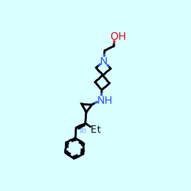 CC/C(=C\c1ccccc1)C1CC1NC1CC2(C1)CN(CCO)C2